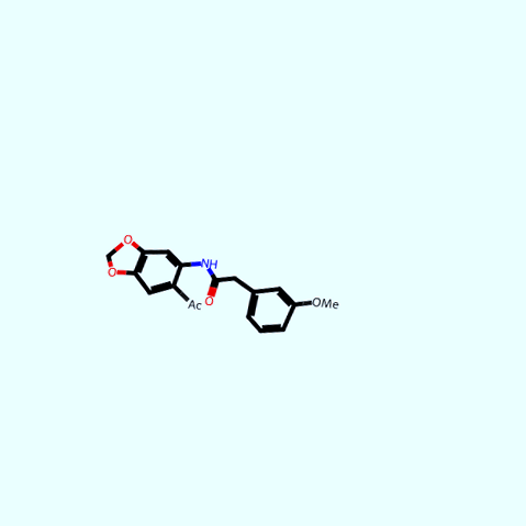 COc1cccc(CC(=O)Nc2cc3c(cc2C(C)=O)OCO3)c1